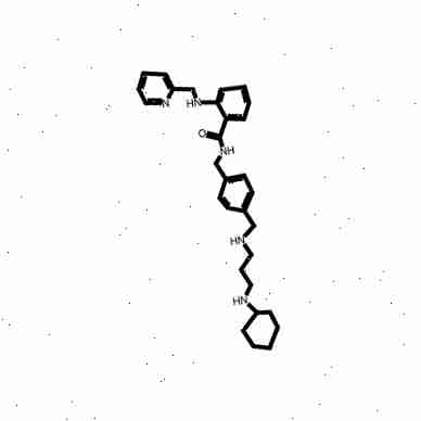 O=C(NCc1ccc(CNCCCNC2CCCCC2)cc1)c1ccccc1NCc1ccccn1